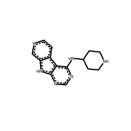 c1cc2c(cn1)[nH]c1ncnc(NC3CCNCC3)c12